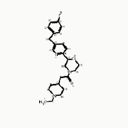 CCN1CCC(CC(=O)N2CCOC(c3ccc(Cc4ccc(F)cc4)cn3)C2)CC1